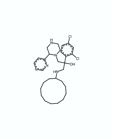 OC(CNC1CCCCCCCCCCC1)(CN1CCNCC1c1ccncn1)c1ccc(Cl)cc1Cl